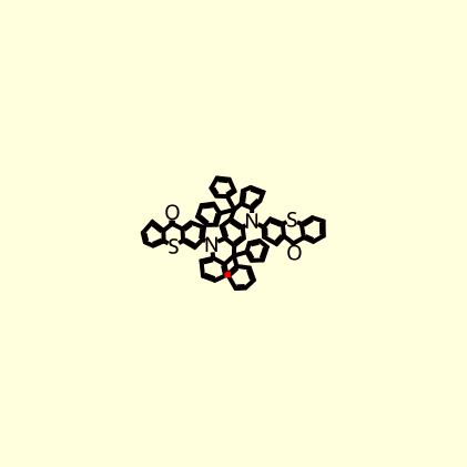 O=c1c2ccccc2sc2cc(N3c4ccccc4C(c4ccccc4)(c4ccccc4)c4cc5c(cc43)C(c3ccccc3)(c3ccccc3)c3ccccc3N5c3ccc4c(=O)c5ccccc5sc4c3)ccc12